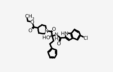 CCOC(=O)C1CCN(C(=O)[C@](O)(CCc2ccccc2)NC(=O)c2cc3cc(Cl)ccc3[nH]2)CC1